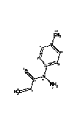 C=CC(=O)N(N)c1ccc(C)cc1